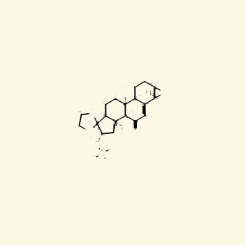 C[C@]12CC[C@H]3O[C@H]3C1=CC(=O)[C@@H]1[C@@H]2CC[C@@]2(C)[C@H]1C[C@@H](O[Si](C)(C)C)C21OCCO1